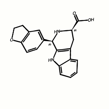 O=C(O)[C@H]1Cc2c([nH]c3ccccc23)[C@@H](c2ccc3c(c2)CCO3)N1